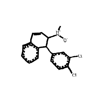 C[NH+]([O-])C1C=Cc2ccccc2C1c1ccc(Cl)c(Cl)c1